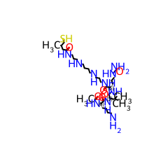 CC(=O)N[C@@H](CCCCN)C(=O)N[C@H](C(=O)N[C@@H](CCCNC(N)=O)C(=O)NCCCNCCCCNCCCNC(=O)CC(C)CS)C(C)C